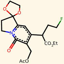 CCOC(=O)[C](CCF)c1cc2n(c(=O)c1COC(C)=O)CCC21OCCO1